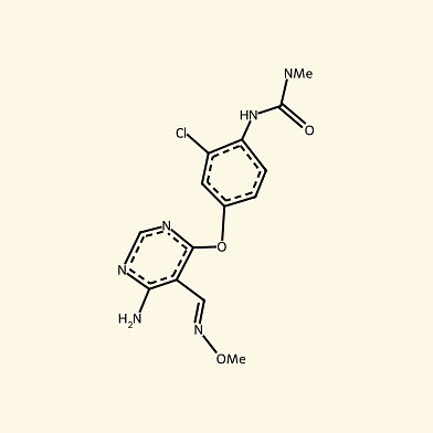 CNC(=O)Nc1ccc(Oc2ncnc(N)c2/C=N/OC)cc1Cl